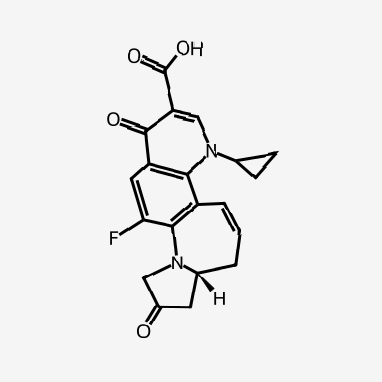 O=C1C[C@H]2CC=Cc3c(c(F)cc4c(=O)c(C(=O)O)cn(C5CC5)c34)N2C1